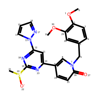 COc1ccc(Cn2cc(-c3cc(-n4cccn4)nc([S+](C)[O-])n3)ccc2=O)cc1OC